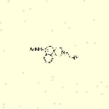 CC(=O)N[C@H]1CCC2(CCN(CCC(C)C)CC2)c2ccccc21